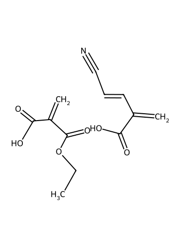 C=C(C(=O)O)C(=O)OCC.C=C(C=CC#N)C(=O)O